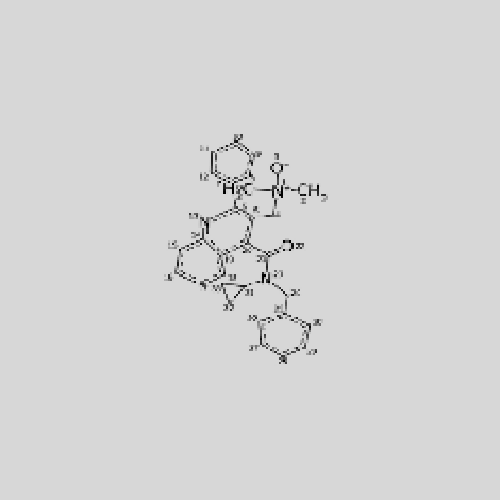 C[N+](C)([O-])Cc1c(-c2ccccc2)nc2ccccc2c1C(=O)N(Cc1ccccc1)C1CC1